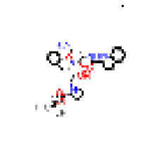 CC(C)(C)OC(=O)[C@@H]1CCCN1C[C@@H](O)[C@H](Cc1ccccc1)NC(=O)[C@H](CC(N)=O)NC(=O)c1ccc2ccccc2n1